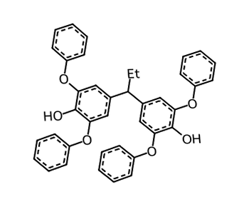 CCC(c1cc(Oc2ccccc2)c(O)c(Oc2ccccc2)c1)c1cc(Oc2ccccc2)c(O)c(Oc2ccccc2)c1